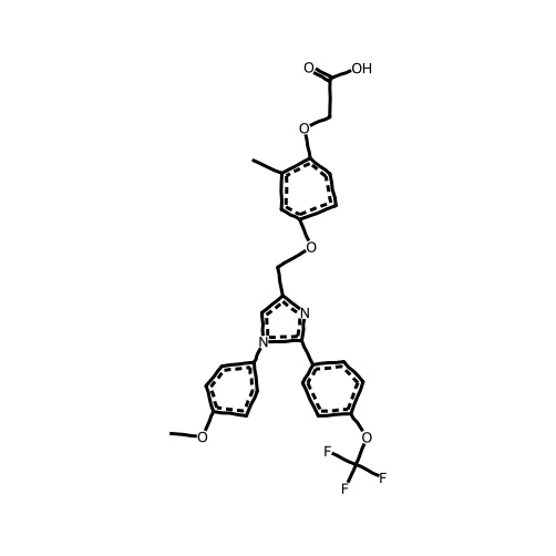 COc1ccc(-n2cc(COc3ccc(OCC(=O)O)c(C)c3)nc2-c2ccc(OC(F)(F)F)cc2)cc1